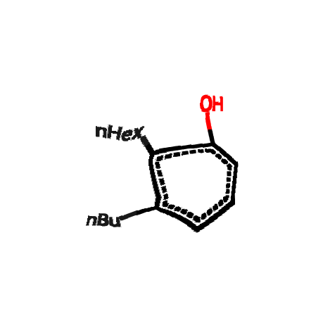 CCCCCCc1c(O)cccc1CCCC